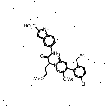 COCCC(C(=O)Nc1ccc2[nH]c(C(=O)O)cc2c1)n1cc(OC)c(-c2cc(Cl)ccc2CC(C)=O)cc1=O